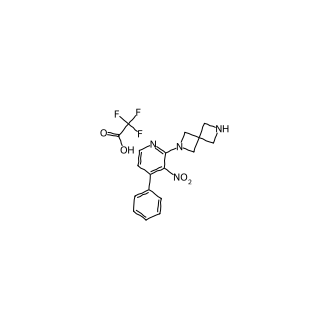 O=C(O)C(F)(F)F.O=[N+]([O-])c1c(-c2ccccc2)ccnc1N1CC2(CNC2)C1